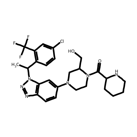 CC(c1ccc(Cl)cc1C(F)(F)F)n1nnc2ccc(N3CCN(C(=O)C4CCCCN4)C(CO)C3)cc21